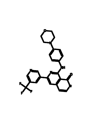 O=C1[N]C=Cc2cc(-c3cncc(C(F)(F)F)c3)nc(Nc3ccc(N4CCOCC4)cc3)c21